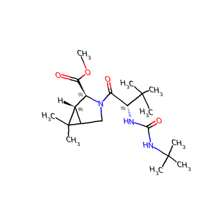 COC(=O)[C@@H]1[C@@H]2C(CN1C(=O)[C@@H](NC(=O)NC(C)(C)C)C(C)(C)C)C2(C)C